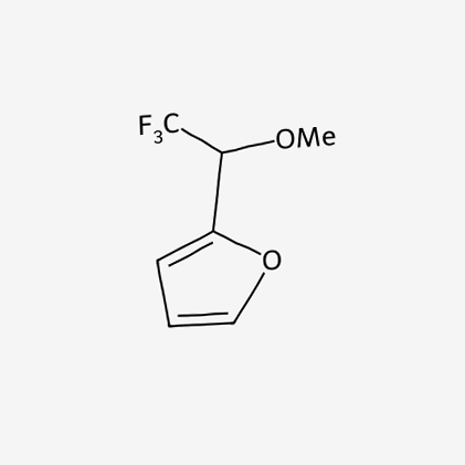 COC(c1ccco1)C(F)(F)F